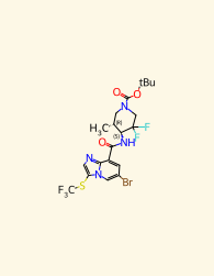 C[C@@H]1CN(C(=O)OC(C)(C)C)CC(F)(F)[C@H]1NC(=O)c1cc(Br)cn2c(SC(F)(F)F)cnc12